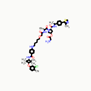 Cc1ncsc1-c1ccc(C(C)NC(=O)[C@@H]2C[C@@H](OC(=O)CN)CN2C(=O)[C@@H](NC(=O)COCCCCCNc2ccc(C(=O)N[C@H]3C(C)(C)[C@H](Oc4ccc(C#N)c(Cl)c4)C3(C)C)cc2)C(C)(C)C)cc1